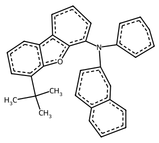 CC(C)(C)c1cccc2c1oc1c(N(c3ccccc3)c3ccc4ccccc4c3)cccc12